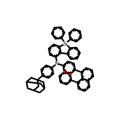 c1ccc(-c2cccc3cccc(-c4ccc(N(c5ccc(C67CC8CC(CC(C8)C6)C7)cc5)c5cccc6c5-c5ccccc5[Si]6(c5ccccc5)c5ccccc5)cc4)c23)cc1